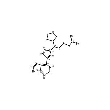 FC(F)CCCC(C1CCCC1)n1cc(-c2ncnc3[nH]ccc23)cn1